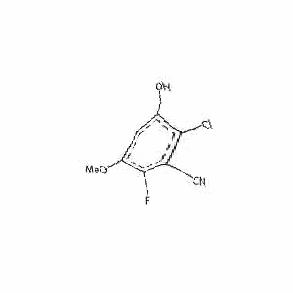 COc1cc(O)c(Cl)c(C#N)c1F